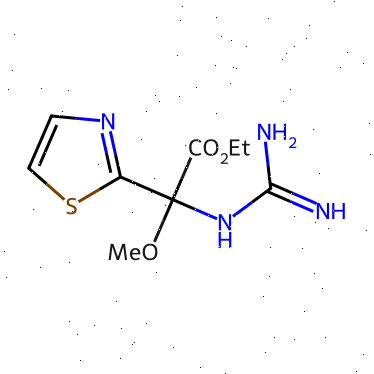 CCOC(=O)C(NC(=N)N)(OC)c1nccs1